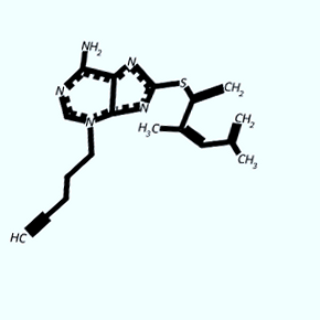 C#CCCCn1cnc(N)c2nc(SC(=C)/C(C)=C\C(=C)C)nc1-2